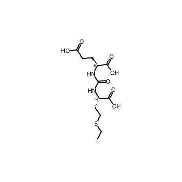 O=C(O)CC[C@H](NC(=O)N[C@@H](CCSCI)C(=O)O)C(=O)O